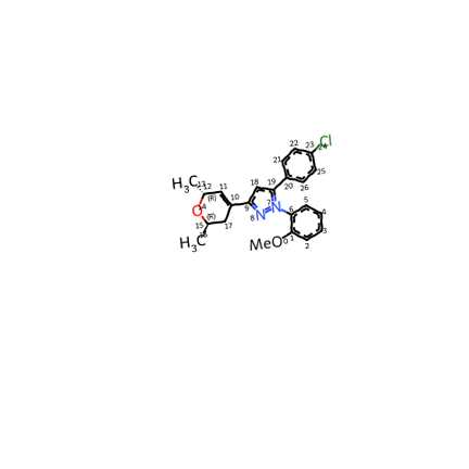 COc1ccccc1-n1nc(C2=C[C@@H](C)O[C@H](C)C2)cc1-c1ccc(Cl)cc1